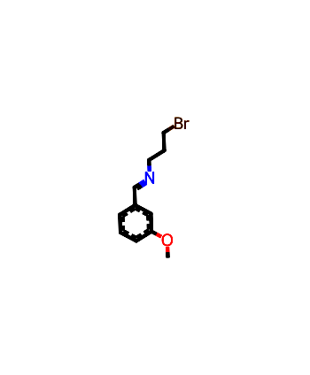 COc1cccc(/C=N/CCCBr)c1